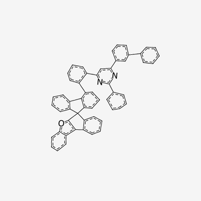 c1ccc(-c2cccc(-c3cc(-c4ccccc4-c4cccc5c4-c4ccccc4C54c5ccccc5-c5c4oc4ccccc54)nc(-c4ccccc4)n3)c2)cc1